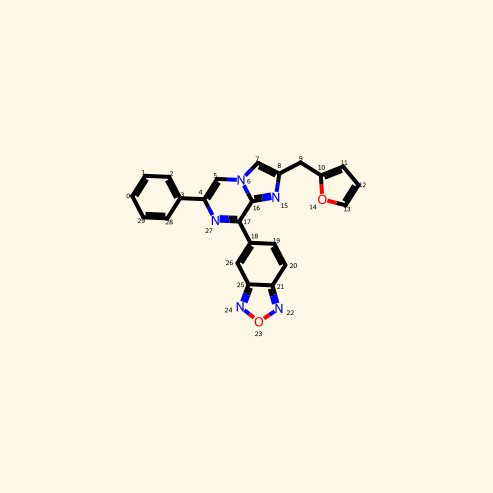 c1ccc(-c2cn3cc(Cc4ccco4)nc3c(-c3ccc4nonc4c3)n2)cc1